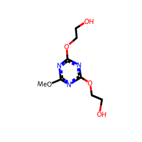 COc1nc(OCCO)nc(OCCO)n1